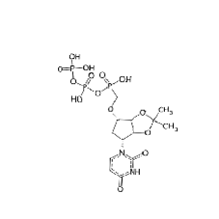 CC1(C)OC2C(O1)[C@H](n1ccc(=O)[nH]c1=O)C[C@@H]2OCP(=O)(O)OP(=O)(O)OP(=O)(O)O